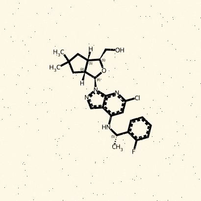 C[C@H](Nc1cc(Cl)nc2c1cnn2[C@@H]1O[C@H](CO)[C@H]2CC(C)(C)C[C@H]21)c1ccccc1F